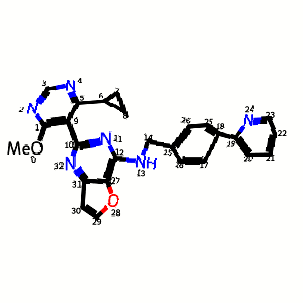 COc1ncnc(C2CC2)c1-c1nc(NCc2ccc(-c3ccccn3)cc2)c2occc2n1